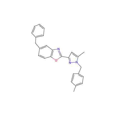 Cc1ccc(Cn2nc(-c3nc4cc(Cc5ccccc5)ccc4o3)cc2C)cc1